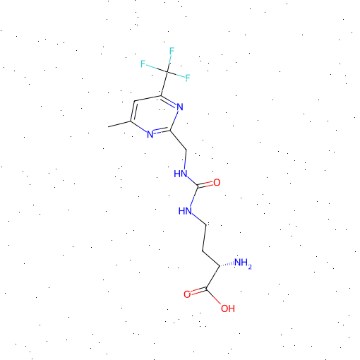 Cc1cc(C(F)(F)F)nc(CNC(=O)NCC[C@H](N)C(=O)O)n1